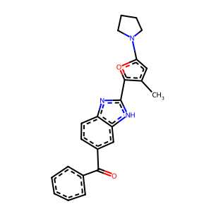 Cc1cc(N2CCCC2)oc1-c1nc2ccc(C(=O)c3ccccc3)cc2[nH]1